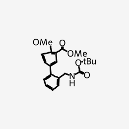 COC(=O)c1cc(-c2ccccc2CNC(=O)OC(C)(C)C)ccc1OC